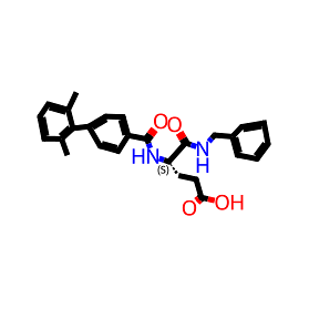 Cc1cccc(C)c1-c1ccc(C(=O)N[C@@H](CCC(=O)O)C(=O)NCc2ccccc2)cc1